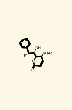 CC(=O)N[C@H]1C=CC(=O)O[C@H]1[C@@H](O)[C@H](F)c1ccccc1